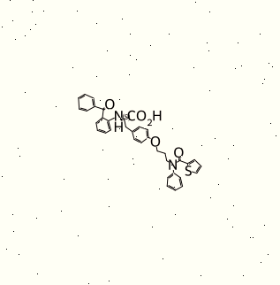 O=C(c1ccccc1)c1ccccc1N[C@@H](Cc1ccc(OCCCN(C(=O)c2cccs2)c2ccccc2)cc1)C(=O)O